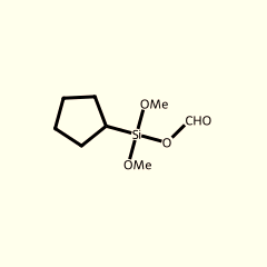 CO[Si](OC)(OC=O)C1CCCC1